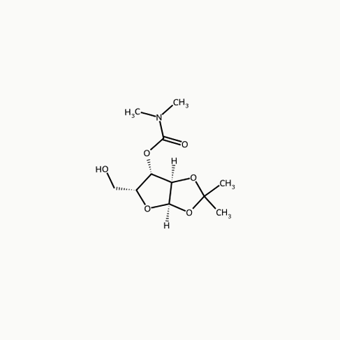 CN(C)C(=O)O[C@@H]1[C@H]2OC(C)(C)O[C@H]2O[C@@H]1CO